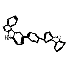 c1ccc2c(c1)ccc1[nH]c3ccc(-c4ccc(-c5ccc6oc7ccccc7c6c5)cc4)cc3c12